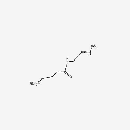 NN=CCNC(=O)CCCC(=O)O